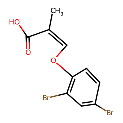 CC(=COc1ccc(Br)cc1Br)C(=O)O